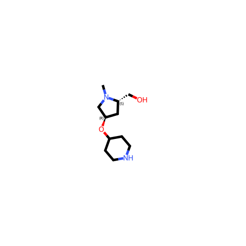 CN1C[C@H](OC2CCNCC2)C[C@H]1CO